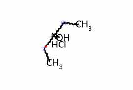 CCCCCCCC/C=C\CCCCCCCCN(CCO)CCCCCCCC/C=C\CCCCCCCC.Cl